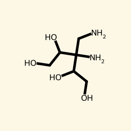 NCC(N)(C(O)CO)C(O)CO